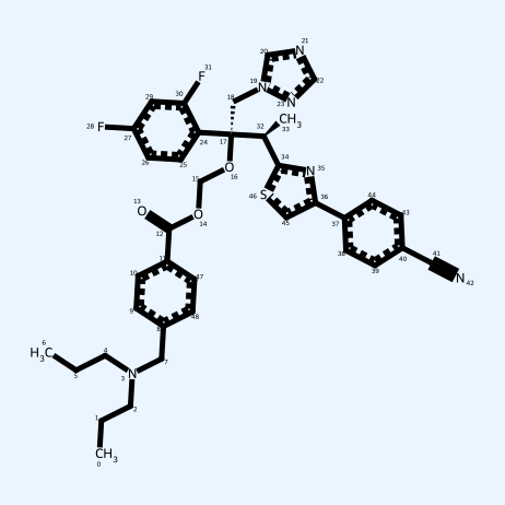 CCCN(CCC)Cc1ccc(C(=O)OCO[C@@](Cn2cncn2)(c2ccc(F)cc2F)[C@@H](C)c2nc(-c3ccc(C#N)cc3)cs2)cc1